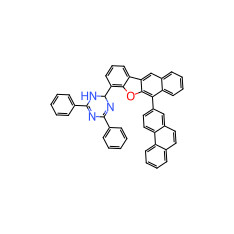 c1ccc(C2=NC(c3cccc4c3oc3c(-c5ccc6c(ccc7ccccc76)c5)c5ccccc5cc34)NC(c3ccccc3)=N2)cc1